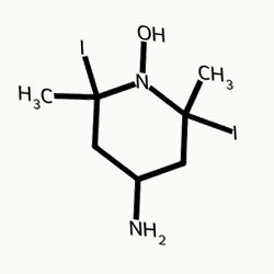 CC1(I)CC(N)CC(C)(I)N1O